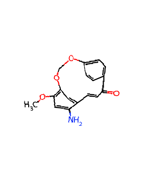 COc1cc(N)c2cc1OCOc1ccc(cc1)C(=O)/C=C/2